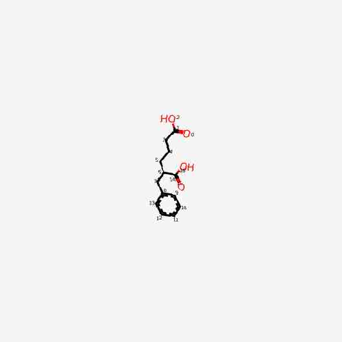 O=C(O)CCC[C@H](Cc1ccccc1)C(=O)O